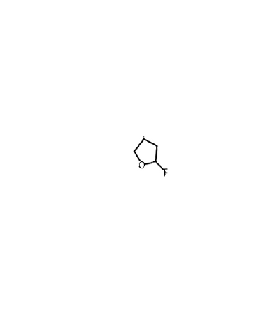 FC1C[CH]CO1